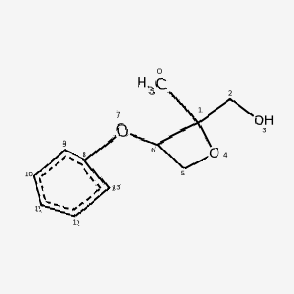 CC1(CO)OCC1Oc1ccccc1